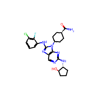 NC(=O)[C@H]1CC[C@@H](n2c(Nc3cccc(Cl)c3F)nc3cnc(N[C@@H]4CCC[C@H]4O)nc32)CC1